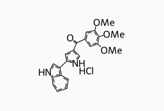 COc1cc(C(=O)c2c[nH]c(-c3c[nH]c4ccccc34)c2)cc(OC)c1OC.Cl